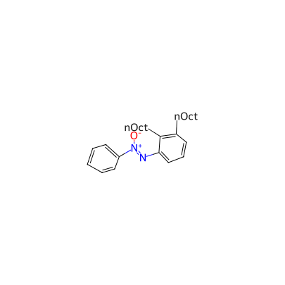 CCCCCCCCc1cccc(N=[N+]([O-])c2ccccc2)c1CCCCCCCC